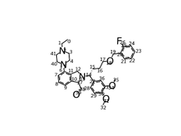 CCN1CCN(c2cccc3c2CN([C@H](CCCOCc2ccccc2F)c2ccc(OC)c(OC)c2)C3C=O)CC1